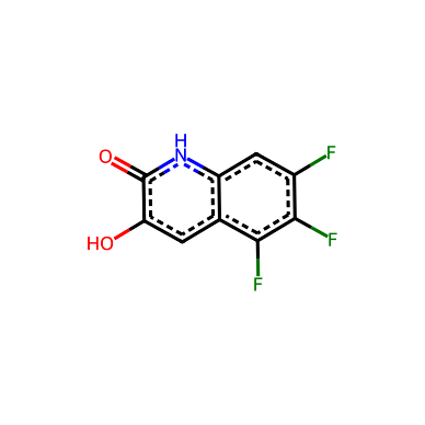 O=c1[nH]c2cc(F)c(F)c(F)c2cc1O